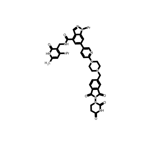 CCCc1cc(C)[nH]c(=O)c1CNC(=O)c1cc(-c2ccc(N3CCN(Cc4ccc5c(c4)C(=O)N(N4CCC(=O)NC4=O)C5=O)CC3)nc2)cc2c1cnn2C(C)C